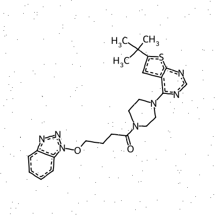 CC(C)(C)c1cc2c(N3CCN(C(=O)CCCOn4nnc5ccccc54)CC3)ncnc2s1